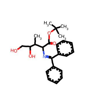 CC(C(O)CO)C(N=C(c1ccccc1)c1ccccc1)C(=O)OC(C)(C)C